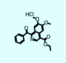 CCOC(=O)c1cnc(C(=O)c2ccccc2)c2cc(OC)c(OC)cc12.Cl